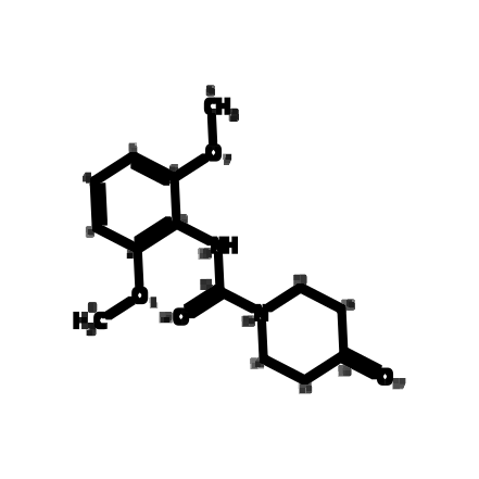 COc1cccc(OC)c1NC(=O)N1CCC(=O)CC1